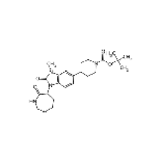 Cn1c(=O)n(C2CCCCNC2=O)c2ccc(C3CCN(C(=O)OC(C)(C)C)CC3)cc21